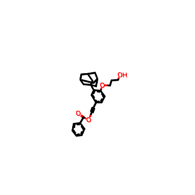 O=C(OC#Cc1ccc(OCCCO)c(C23CC4CC(CC(C4)C2)C3)c1)c1ccccc1